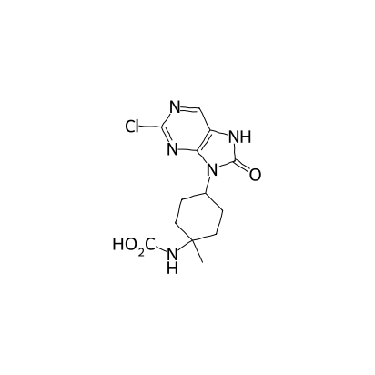 CC1(NC(=O)O)CCC(n2c(=O)[nH]c3cnc(Cl)nc32)CC1